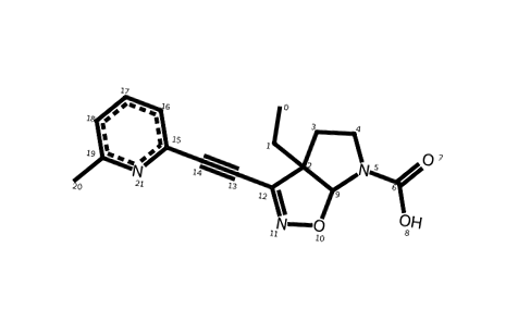 CCC12CCN(C(=O)O)C1ON=C2C#Cc1cccc(C)n1